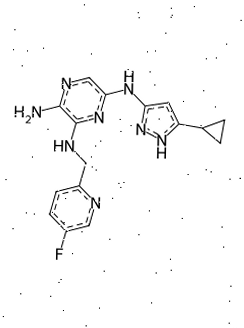 Nc1ncc(Nc2cc(C3CC3)[nH]n2)nc1NCc1ccc(F)cn1